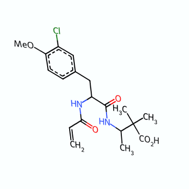 C=CC(=O)NC(Cc1ccc(OC)c(Cl)c1)C(=O)NC(C)C(C)(C)C(=O)O